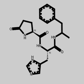 CC(Cc1ccccc1)NC(=O)[C@H](Cc1cnc[nH]1)NC(=O)[C@@H]1CCC(=O)N1